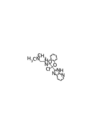 CN(C)CCNC(=O)C(Cl)(Oc1ccccc1)c1nc2cccnc2[nH]1